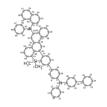 C[Si]1(C)c2cc(-c3ccc(N(c4ccccc4)c4ccc(-c5ccccc5)cc4)cc3)ccc2-c2cc3c4ccccc4c(N(c4ccccc4)c4cccc5ccccc45)cc3c3cccc1c23